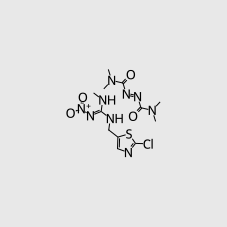 CN(C)C(=O)N=NC(=O)N(C)C.CNC(=N[N+](=O)[O-])NCc1cnc(Cl)s1